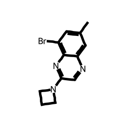 Cc1cc(Br)c2nc(N3CCC3)cnc2c1